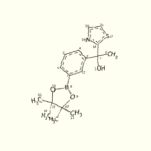 CC(O)(c1cccc(B2OC(C)(C)C(C)(C)O2)c1)c1nccs1